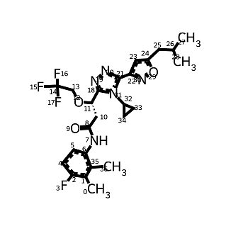 Cc1c(F)ccc(NC(=O)C[C@H](OCC(F)(F)F)c2nnc(-c3cc(CC(C)C)on3)n2C2CC2)c1C